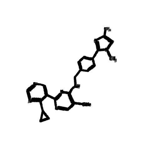 COc1cnc(-c2cncnc2C2CC2)nc1NCc1ccc(-c2nc(C(F)(F)F)cn2C)cc1